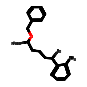 CCCCCC(CCCC(C(C)=O)c1ccccc1C)OCc1ccccc1